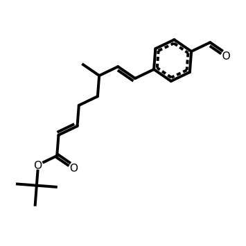 CC(C=Cc1ccc(C=O)cc1)CCC=CC(=O)OC(C)(C)C